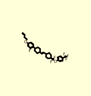 C=CCCOc1ccc(C2CCC(/C=C/C3CCC(C(F)(F)Oc4ccc(C(F)(F)F)cc4)CC3)CC2)c(F)c1